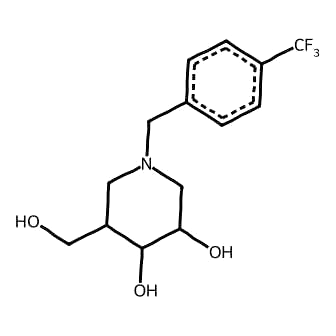 OCC1CN(Cc2ccc(C(F)(F)F)cc2)CC(O)C1O